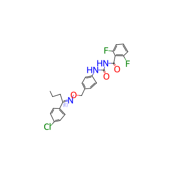 CCC/C(=N\OCc1ccc(NC(=O)NC(=O)c2c(F)cccc2F)cc1)c1ccc(Cl)cc1